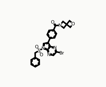 O=C(c1ccc(-c2cn(S(=O)(=O)Cc3ccccc3)c3ncc(Br)nc23)cc1)N1CC2(COC2)C1